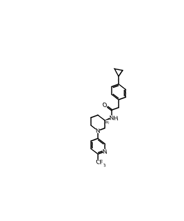 O=C(Cc1ccc(C2CC2)cc1)N[C@@H]1CCCN(c2ccc(C(F)(F)F)nc2)C1